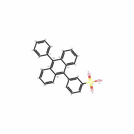 O=S(=O)(O)c1cccc(-c2c3ccccc3c(-c3ccccc3)c3ccccc23)c1